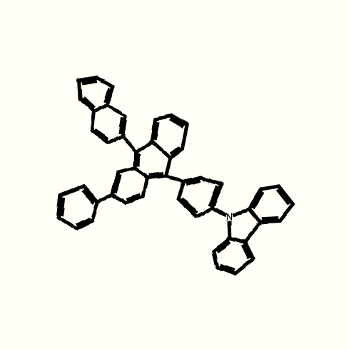 c1ccc(-c2ccc3c(-c4ccc(-n5c6ccccc6c6ccccc65)cc4)c4ccccc4c(-c4ccc5ccccc5c4)c3c2)cc1